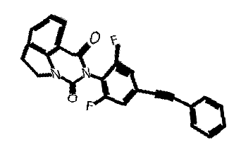 O=c1c2cccc3c2n(c(=O)n1-c1c(F)cc(C#Cc2ccccc2)cc1F)CC3